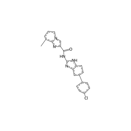 Cc1cccn2cc(C(=O)Nc3nc4cc(-c5ccc(Cl)cc5)ccc4[nH]3)nc12